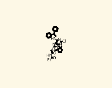 CCC(=O)NC1=COC(C2(n3cnc4c(NCC(c5ccccc5)c5ccccc5)nc(Cl)nc43)CCCC2(C)C)O1